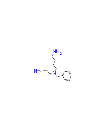 N#CCCN(CCCCN)Cc1ccccc1